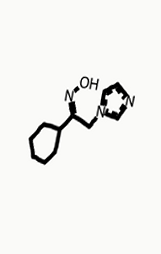 ON=C(Cn1ccnc1)C1CCCCC1